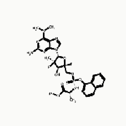 CC(C)OC(=O)[C@@H](C)N[P@](=S)(OC[C@@]1(F)O[C@@H](n2cnc3c(N(C)C)nc(N)nc32)[C@](C)(F)[C@@H]1O)Oc1cccc2ccccc12